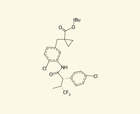 C[C@H]([C@H](C(=O)Nc1cc(CC2(C(=O)OC(C)(C)C)CC2)ccc1Cl)c1ccc(Cl)cc1)C(F)(F)F